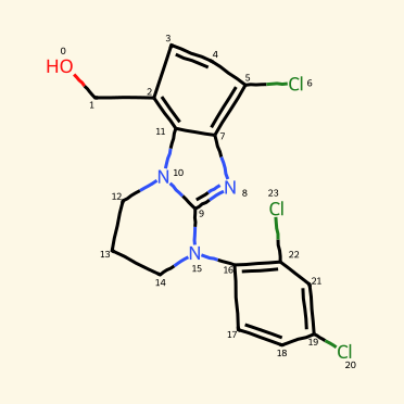 OCc1ccc(Cl)c2nc3n(c12)CCCN3c1ccc(Cl)cc1Cl